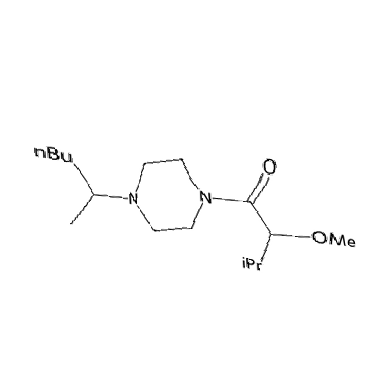 CCCCC(C)N1CCN(C(=O)C(OC)C(C)C)CC1